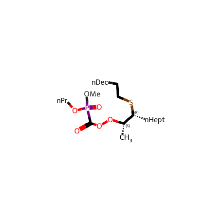 CCCCCCCCCCCCS[C@H](CCCCCCC)[C@H](C)OOC(=O)P(=O)(OC)OCCC